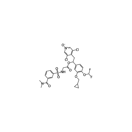 CN(C)C(=O)c1cccc(S(=O)(=O)NCC(=O)OC(Cc2c(Cl)c[n+]([O-])cc2Cl)c2ccc(OC(F)F)c(OCC3CC3)c2)c1